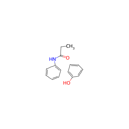 CCC(=O)Nc1ccccc1.Oc1ccccc1